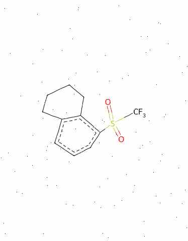 O=S(=O)(c1cccc2c1CCCC2)C(F)(F)F